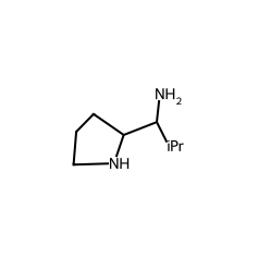 CC(C)C(N)C1CCCN1